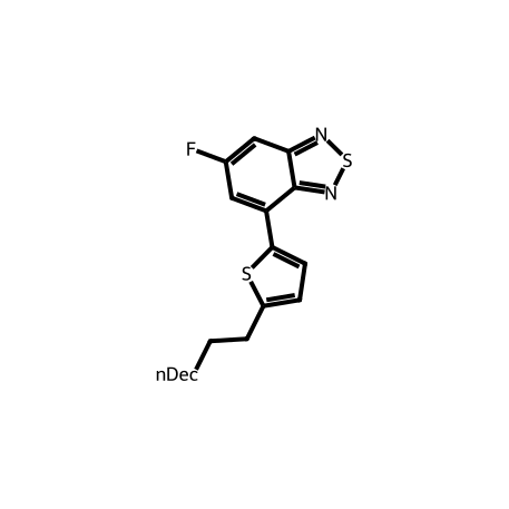 CCCCCCCCCCCCc1ccc(-c2cc(F)cc3nsnc23)s1